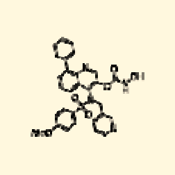 COc1ccc(S(=O)(=O)N(Cc2cccnc2)c2c(OC(=O)NO)cnc3c(-c4ccccc4)cccc23)cc1